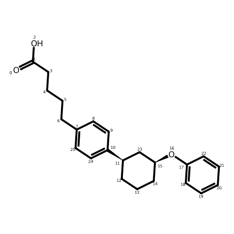 O=C(O)CCCCc1ccc([C@@H]2CCC[C@H](Oc3ccccc3)C2)cc1